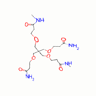 CNC(=O)CCOCC(COCCC(N)=O)(COCCC(N)=O)COCCC(=O)NC